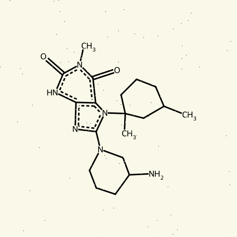 CC1CCCC(C)(n2c(N3CCCC(N)C3)nc3[nH]c(=O)n(C)c(=O)c32)C1